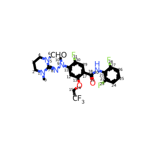 CN1CCCN(C=O)/C1=N\N(C)c1cc(OCC(F)(F)F)c(C(=O)Nc2c(F)cccc2F)cc1F